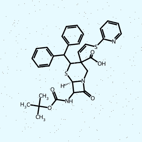 CC(C)(C)OC(=O)NC1C(=O)N2CC(C=CSc3ccccn3)(C(=O)O)C(C(c3ccccc3)c3ccccc3)S[C@H]12